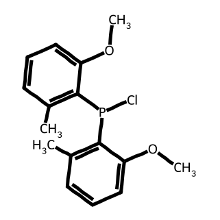 COc1cccc(C)c1P(Cl)c1c(C)cccc1OC